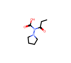 CCC(=O)N(C(=O)O)N1CCCC1